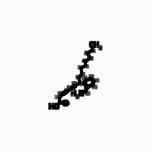 CCCCCCCCCCC#CC#CCC(=O)O.NCc1ccccc1